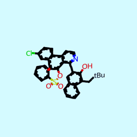 CC(C)(C)Cc1c(O)c(-c2nccc3c2c(OS(=O)(=O)c2ccccc2)cc2cc(Cl)ccc23)cc2ccccc12